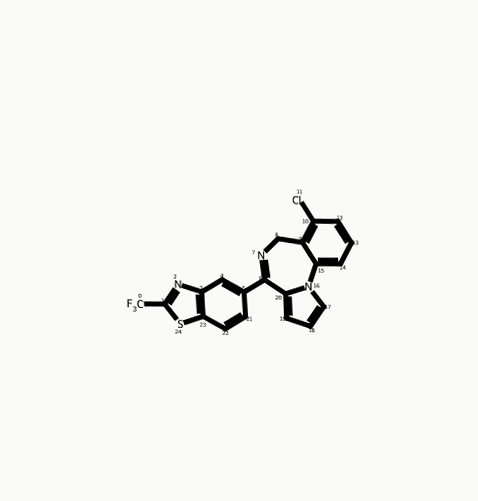 FC(F)(F)c1nc2cc(C3=NCc4c(Cl)cccc4-n4cccc43)ccc2s1